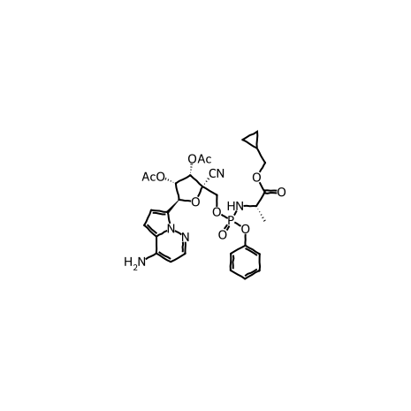 CC(=O)O[C@H]1[C@H](c2ccc3c(N)ccnn23)O[C@](C#N)(COP(=O)(N[C@@H](C)C(=O)OCC2CC2)Oc2ccccc2)[C@H]1OC(C)=O